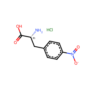 Cl.N[C@H](Cc1ccc([N+](=O)[O-])cc1)C(=O)O